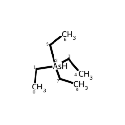 CC[AsH](CC)(CC)CC